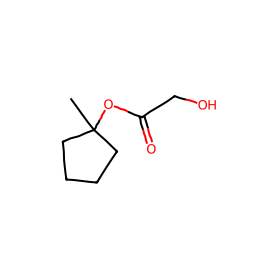 CC1(OC(=O)CO)CCCC1